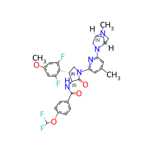 COc1cc(F)c([C@@H]2CN(c3cc(C)cc(N4C[C@@H]5C[C@H]4CN5C)n3)C(=O)[C@H]2NC(=O)c2ccc(OC(F)F)cc2)c(F)c1